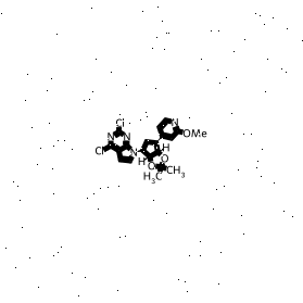 COc1cc([C@H]2C[C@@H](n3ccc4c(Cl)nc(Cl)nc43)[C@@H]3OC(C)(C)O[C@@H]32)ccn1